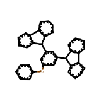 c1ccc(Sc2cc(C3c4ccccc4-c4ccccc43)cc(C3c4ccccc4-c4ccccc43)c2)cc1